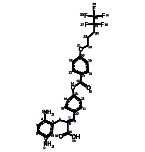 Nc1ccc(N)c(C/C(=C\c2ccc(OC(=O)c3ccc(OCCCC(F)(F)C(F)(F)F)cc3)cc2)C(=O)O)c1